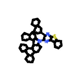 c1ccc2cc(-c3nc4sc5ccccc5c4nc3-n3c4ccc5ccccc5c4c4c5c6ccccc6c6ccccc6c5ccc43)ccc2c1